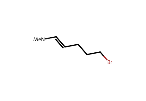 CNC=CCCCBr